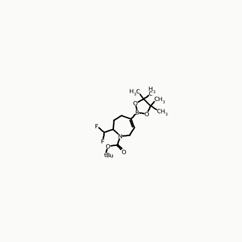 CC(C)(C)OC(=O)N1CC=C(B2OC(C)(C)C(C)(C)O2)CCC1C(F)F